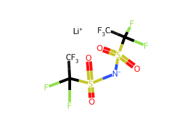 O=S(=O)([N-]S(=O)(=O)C(F)(F)C(F)(F)F)C(F)(F)C(F)(F)F.[Li+]